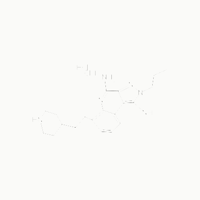 CCCn1nc2c(N)nc3c(CCC4CCNCC4)cccc3c2c1N.Cl.Cl